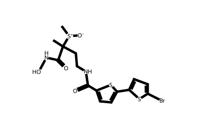 C[S+]([O-])C(C)(CCNC(=O)c1ccc(-c2ccc(Br)s2)s1)C(=O)NO